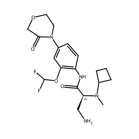 CN(C1CCC1)[C@@H](CN)C(=O)Nc1ccc(N2CCOCC2=O)cc1OC(F)F